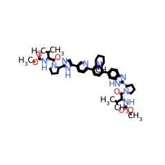 COC(=O)N[C@H](C(=O)N1CCCC1c1ncc(-c2ccc(-c3ccc(-c4ccc5nc([C@@H]6CCCN6C(=O)[C@@H](NC(=O)OC)C(C)C)[nH]c5c4)c4c3C3CCC4N3C)nc2)[nH]1)C(C)C